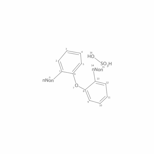 CCCCCCCCCc1ccccc1Oc1ccccc1CCCCCCCCC.O=S(=O)(O)O